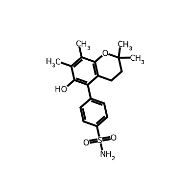 Cc1c(C)c2c(c(-c3ccc(S(N)(=O)=O)cc3)c1O)CCC(C)(C)O2